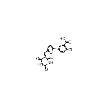 O=C1NC(=O)C(=Cc2ccc(-c3ccc(Cl)c(C(=O)O)c3)o2)C(=O)N1